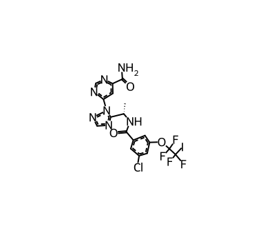 C[C@H](NC(=O)c1cc(Cl)cc(OC(F)(F)C(F)(F)I)c1)c1ncnn1-c1cc(C(N)=O)ncn1